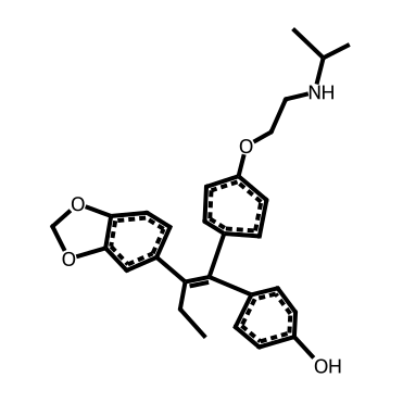 CCC(=C(c1ccc(O)cc1)c1ccc(OCCNC(C)C)cc1)c1ccc2c(c1)OCO2